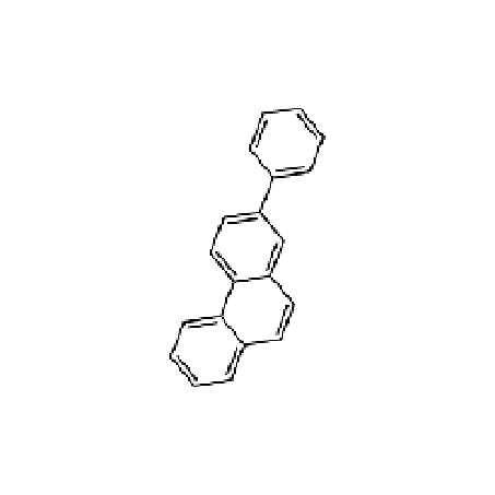 [c]1cc2cc(-c3ccccc3)ccc2c2ccccc12